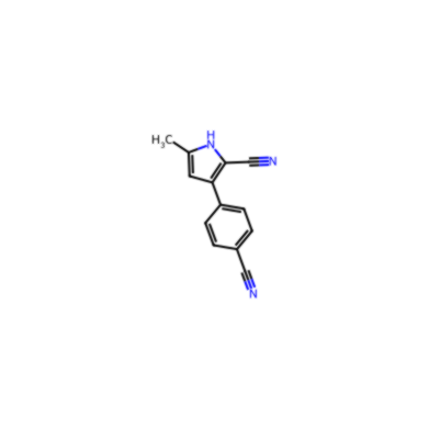 Cc1cc(-c2ccc(C#N)cc2)c(C#N)[nH]1